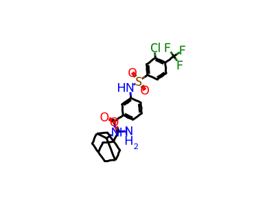 NC(=O)C12CC3CC(C1)C(NC(=O)c1cccc(NS(=O)(=O)c4ccc(C(F)(F)F)c(Cl)c4)c1)C(C3)C2